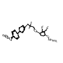 CCCCCOc1ccc(OCC(F)(F)Cc2ccc(-c3ccc(CCCC)cc3)cc2)c(F)c1F